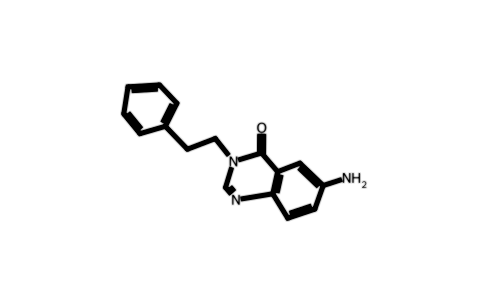 Nc1ccc2ncn(CCc3ccccc3)c(=O)c2c1